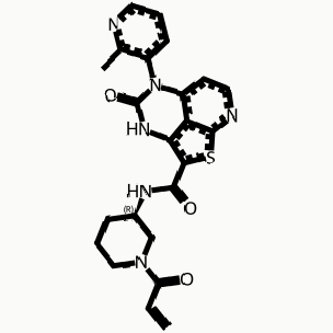 C=CC(=O)N1CCC[C@@H](NC(=O)c2sc3nccc4c3c2NC(=O)N4c2cccnc2C)C1